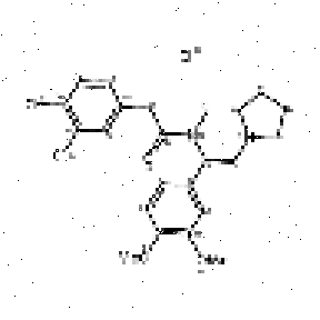 COc1ccc([C@H](CN2CCCC2)N(C)C(=O)Cc2ccc(Cl)c(Cl)c2)cc1OC.Cl